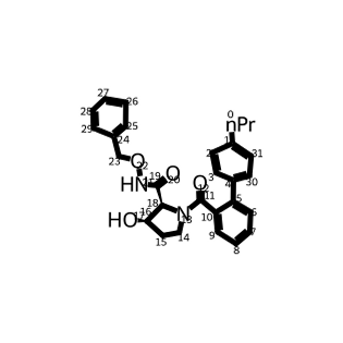 CCCc1ccc(-c2ccccc2C(=O)N2CC[C@@H](O)[C@H]2C(=O)NOCc2ccccc2)cc1